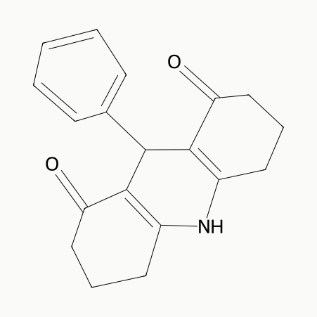 O=C1CCCC2=C1C(c1ccccc1)C1=C(CCCC1=O)N2